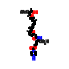 CO[C@@H]([C@@H](C)O)[C@@H](C)OC(C)(C)C[C@H](C)/C=C/C=C(\C)[C@H]1O[C@@H](CC(=O)N[C@@H](CCCOC(=O)N2CCNCC2)C(=O)O)CC[C@@H]1C